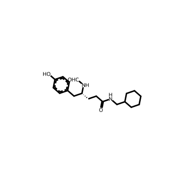 O=CN[C@H](CCC(=O)NCC1CCCCC1)Cc1ccc(O)cc1